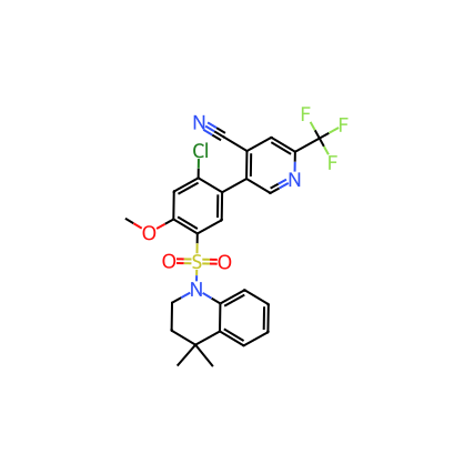 COc1cc(Cl)c(-c2cnc(C(F)(F)F)cc2C#N)cc1S(=O)(=O)N1CCC(C)(C)c2ccccc21